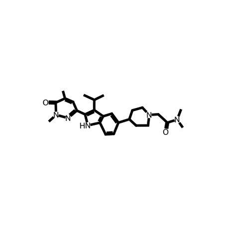 Cc1cc(-c2[nH]c3ccc(C4CCN(CC(=O)N(C)C)CC4)cc3c2C(C)C)nn(C)c1=O